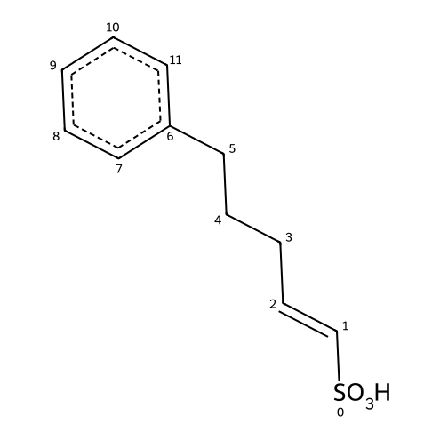 O=S(=O)(O)C=CCCCc1ccccc1